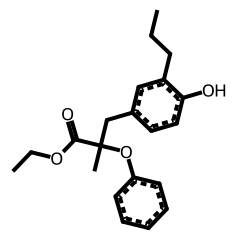 CCCc1cc(CC(C)(Oc2ccccc2)C(=O)OCC)ccc1O